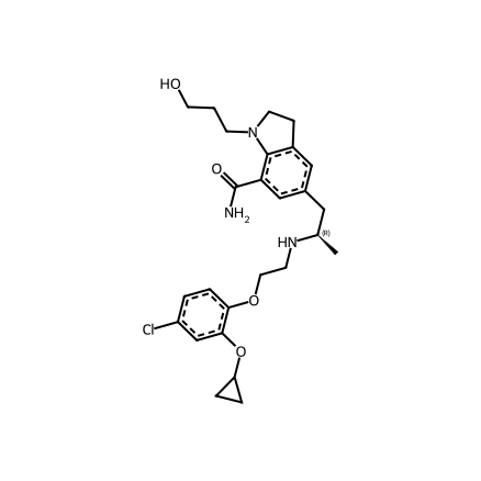 C[C@H](Cc1cc2c(c(C(N)=O)c1)N(CCCO)CC2)NCCOc1ccc(Cl)cc1OC1CC1